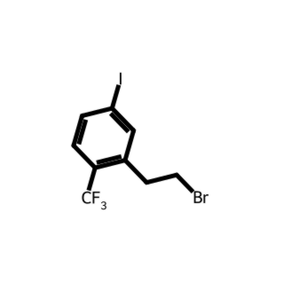 FC(F)(F)c1ccc(I)cc1CCBr